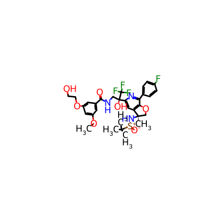 COc1cc(OCCO)cc(C(=O)NC[C@@](O)(c2cc3c(c(-c4ccc(F)cc4)n2)OC[C@@]3(C)N[S+]([O-])C(C)(C)C)C(F)(F)F)c1